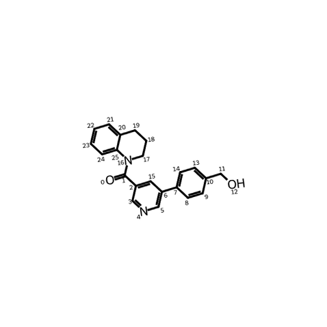 O=C(c1cncc(-c2ccc(CO)cc2)c1)N1CCCc2ccccc21